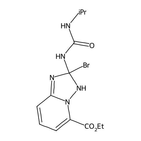 CCOC(=O)C1=CC=CC2=NC(Br)(NC(=O)NC(C)C)NN12